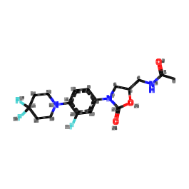 CC(=O)NCC1CN(c2ccc(N3CCC(F)(F)CC3)c(F)c2)C(=O)O1